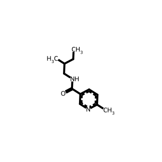 CCC(C)CNC(=O)c1ccc(C)nc1